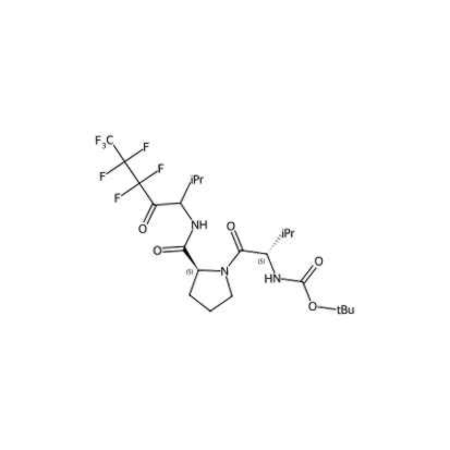 CC(C)C(NC(=O)[C@@H]1CCCN1C(=O)[C@@H](NC(=O)OC(C)(C)C)C(C)C)C(=O)C(F)(F)C(F)(F)C(F)(F)F